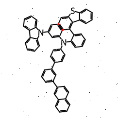 c1cc(-c2ccc(N(c3cccc(-n4c5ccccc5c5ccccc54)c3)c3ccccc3-c3cccc4sc5ccccc5c34)cc2)cc(-c2ccc3ccccc3c2)c1